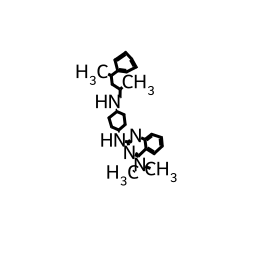 CC(CN[C@H]1CC[C@@H](Nc2nc(N(C)C)c3ccccc3n2)CC1)CC(C)c1ccccc1